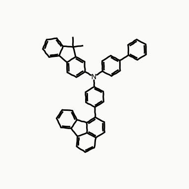 CC1(C)c2ccccc2-c2ccc(N(c3ccc(-c4ccccc4)cc3)c3ccc(-c4ccc5cccc6c5c4-c4ccccc4-6)cc3)cc21